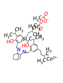 CC(=O)[O-].CC(=O)[O-].CC(C)CCc1cc(C=NC2CC3CCC2(N=Cc2cc(CCC(C)C)cc(C(C)C)c2O)C3)c(O)c(C(C)C)c1.[Co+2]